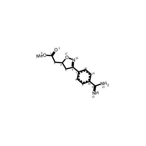 COC(=O)CC1CC(c2ccc(C(=N)N)cc2)=NO1